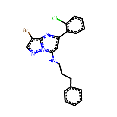 Clc1ccccc1-c1cc(NCCCc2ccccc2)n2ncc(Br)c2n1